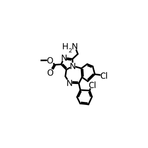 COC(=O)c1nc(CN)n2c1CN=C(c1ccccc1Cl)c1cc(Cl)ccc1-2